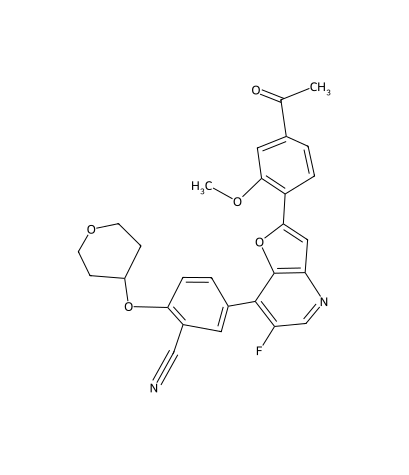 COc1cc(C(C)=O)ccc1-c1cc2ncc(F)c(-c3ccc(OC4CCOCC4)c(C#N)c3)c2o1